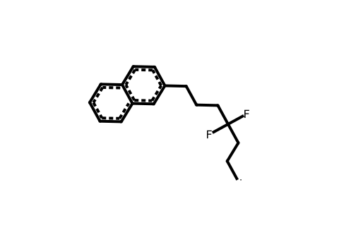 [CH2]CCC(F)(F)CCCc1ccc2ccccc2c1